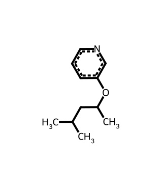 CC(C)CC(C)Oc1cccnc1